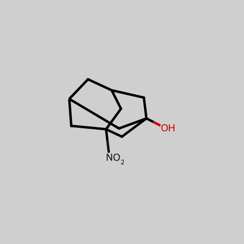 O=[N+]([O-])C12CC3CC(CC(O)(C3)C1)C2